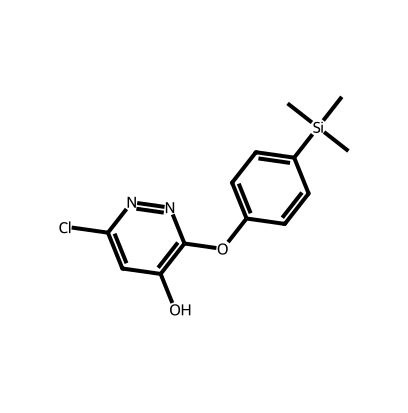 C[Si](C)(C)c1ccc(Oc2nnc(Cl)cc2O)cc1